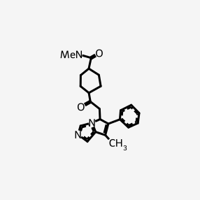 CNC(=O)C1CCC(C(=O)CC2C(c3ccccc3)=C(C)c3cncn32)CC1